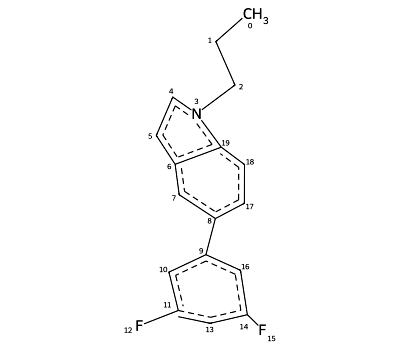 CCCn1ccc2cc(-c3cc(F)cc(F)c3)ccc21